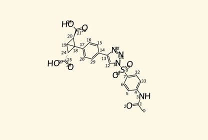 CC(=O)Nc1ccc(S(=O)(=O)n2cc(-c3ccc(C45C([C@H]4C(=O)O)[C@H]5C(=O)O)cc3)nn2)cc1